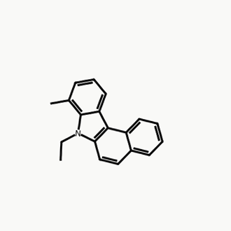 CCn1c2ccc3ccccc3c2c2cccc(C)c21